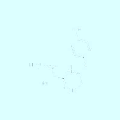 CC(C)[C@H](NC(=O)O)C(=O)NC(CO)Cc1ccc(O)cc1